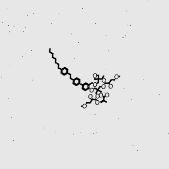 C=C(C)C(=O)OCC(COC(=O)C(=O)CCOC)(COC(=O)C(=O)CCOC)COc1ccc(-c2ccc(CCc3ccc(CCCCCCCC)cc3)cc2)cc1COCC1(CC)COC1